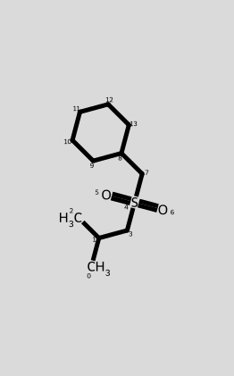 CC(C)CS(=O)(=O)CC1CCCCC1